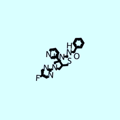 O=C(NC1NC2(c3cccnc3)CN(c3ncc(F)cn3)CC2CS1)c1ccccc1